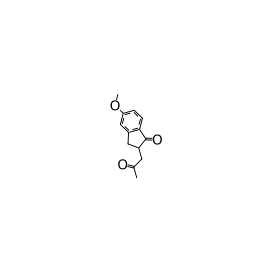 COc1ccc2c(c1)CC(CC(C)=O)C2=O